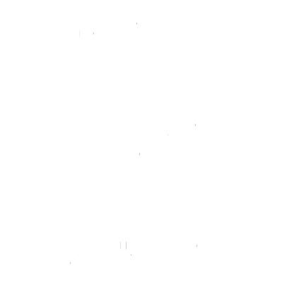 C=C(CC1OC1(C)C1CCC2(C)OC2C1)C1CCC2(C)OC2C1